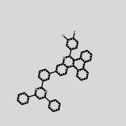 Fc1ccc(-c2nc3cc(-c4cccc(-c5nc(-c6ccccc6)cc(-c6ccccc6)n5)c4)ccc3c3c4ccccc4c4ccccc4c23)cc1F